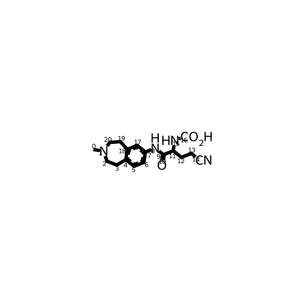 CN1CCc2ccc(NC(=O)C(CCC#N)NC(=O)O)cc2CC1